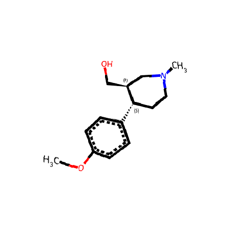 COc1ccc([C@H]2CCN(C)C[C@@H]2CO)cc1